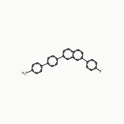 Fc1ccc(-c2ccc3ccc(-c4ccc(-c5ccc(P)cc5)cc4)cc3c2)cc1